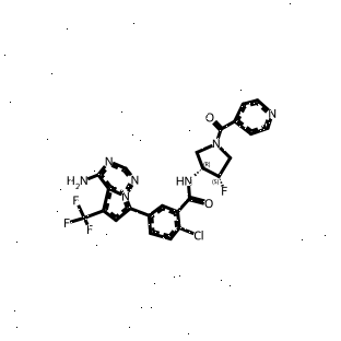 Nc1ncnn2c(-c3ccc(Cl)c(C(=O)N[C@@H]4CN(C(=O)c5ccncc5)C[C@@H]4F)c3)cc(C(F)(F)F)c12